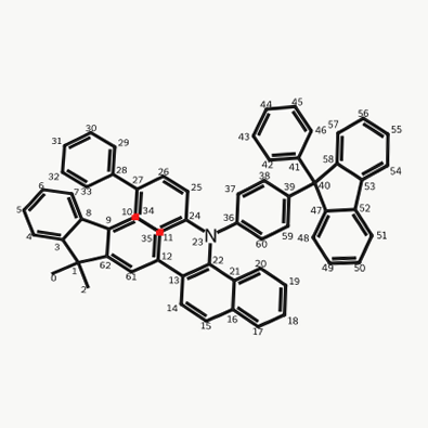 CC1(C)c2ccccc2-c2ccc(-c3ccc4ccccc4c3N(c3ccc(-c4ccccc4)cc3)c3ccc(C4(c5ccccc5)c5ccccc5-c5ccccc54)cc3)cc21